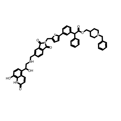 O=C(OCC1CCN(Cc2ccccc2)CC1)C(c1ccccc1)c1cccc(-c2ccc(CN3C(=O)c4ccc(CNCC(O)c5ccc(O)c6[nH]c(=O)ccc56)cc4C3=O)s2)c1